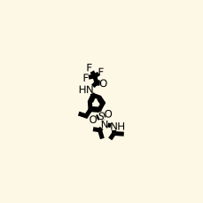 CCc1cc(NC(=O)C(F)(F)F)ccc1S(=O)(=O)N(NC(C)C)C(C)C